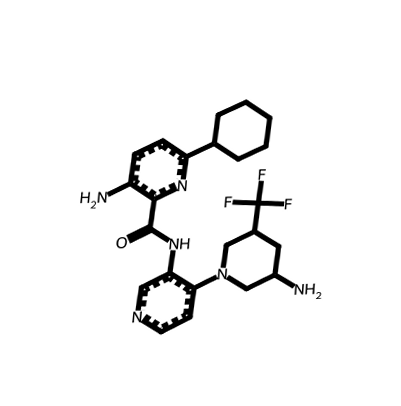 Nc1ccc(C2CCCCC2)nc1C(=O)Nc1cnccc1N1CC(N)CC(C(F)(F)F)C1